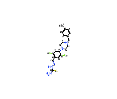 CC(C)(C)c1ccc(CN2CCN(c3cc(F)c(C=NNC(N)=S)cc3F)CC2)cc1